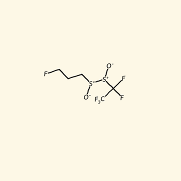 [O-][S+](CCCF)[S+]([O-])C(F)(F)C(F)(F)F